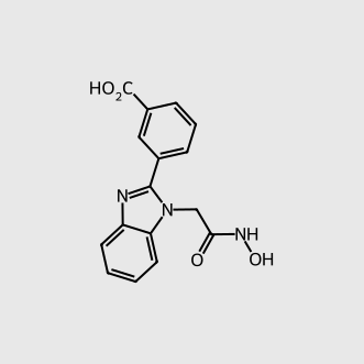 O=C(Cn1c(-c2cccc(C(=O)O)c2)nc2ccccc21)NO